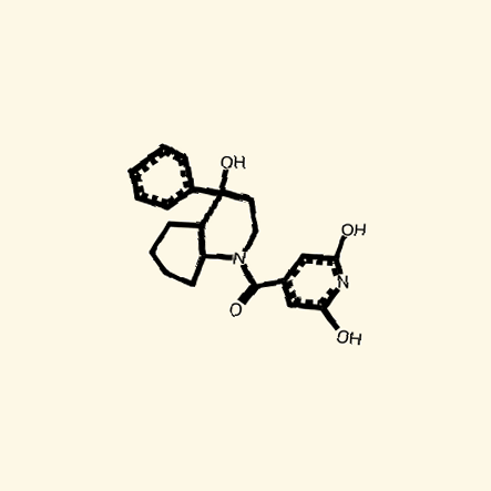 O=C(c1cc(O)nc(O)c1)N1CCC(O)(c2ccccc2)C2CCCCC21